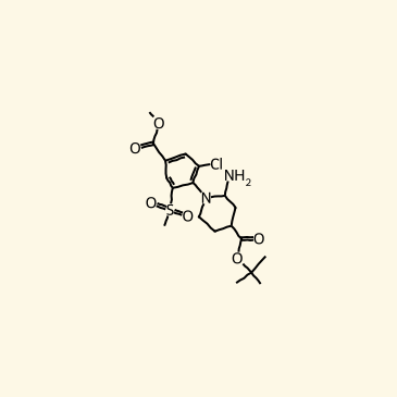 COC(=O)c1cc(Cl)c(N2CCC(C(=O)OC(C)(C)C)CC2N)c(S(C)(=O)=O)c1